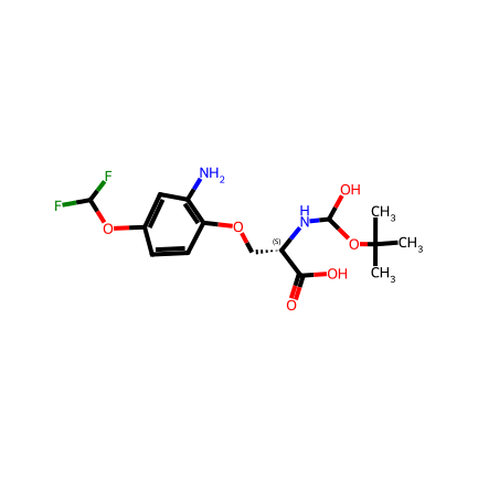 CC(C)(C)OC(O)N[C@@H](COc1ccc(OC(F)F)cc1N)C(=O)O